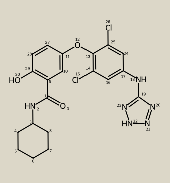 O=C(NC1CCCCC1)c1cc(Oc2c(Cl)cc(Nc3nn[nH]n3)cc2Cl)ccc1O